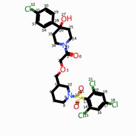 O=C(COCC1CCCN(S(=O)(=O)c2c(Cl)cc(Cl)cc2Cl)C1)N1CCC(O)(c2ccc(Cl)cc2)CC1